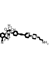 CC1(C)C(=O)N(c2cccc(C#N)c2C(F)(F)F)C(=S)N1c1ccc(C#Cc2ccc(N3CCN(CCCN)CC3)nc2)cc1